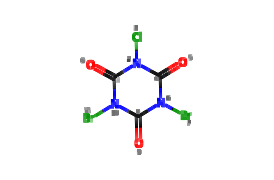 O=c1n(Cl)c(=O)n(Br)c(=O)n1Br